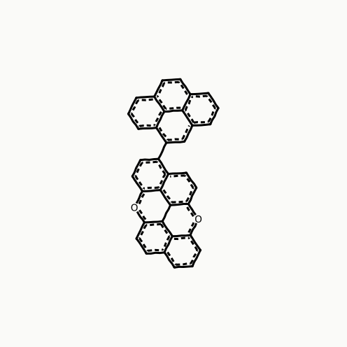 c1cc2ccc3cccc4c(-c5ccc6oc7ccc8cccc9oc%10ccc5c6c%10-c7c89)cc(c1)c2c34